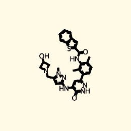 Cc1ccc(-c2cc(Nc3cc(CN4CC(O)C4)n(C)n3)c(=O)[nH]n2)c(C)c1NC(=O)c1cc2ccccc2s1